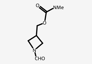 CNC(=O)OCC1CN(C=O)C1